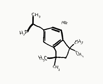 Br.CC(P)c1ccc2c(c1)C(C)(C)CC2(C)C